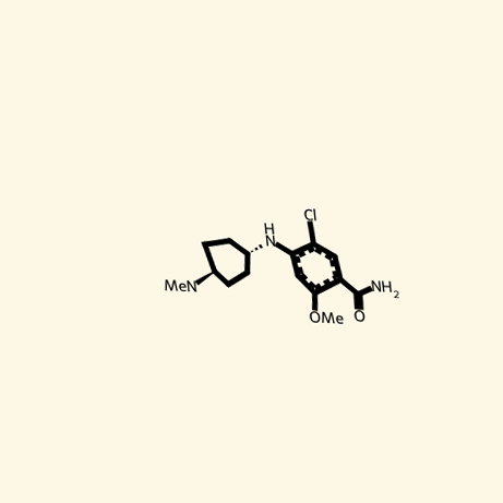 CN[C@H]1CC[C@H](Nc2cc(OC)c(C(N)=O)cc2Cl)CC1